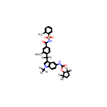 [2H]C([2H])(c1ccc(C(=O)NS(=O)(=O)c2ccccc2C)cc1OC)c1cn(C([2H])([2H])[2H])c2ccc(NC(=O)OC3C([2H])([2H])CCC3([2H])[2H])cc12